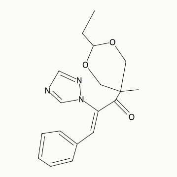 CCC1OCC(C)(C(=O)C(=Cc2ccccc2)n2cncn2)CO1